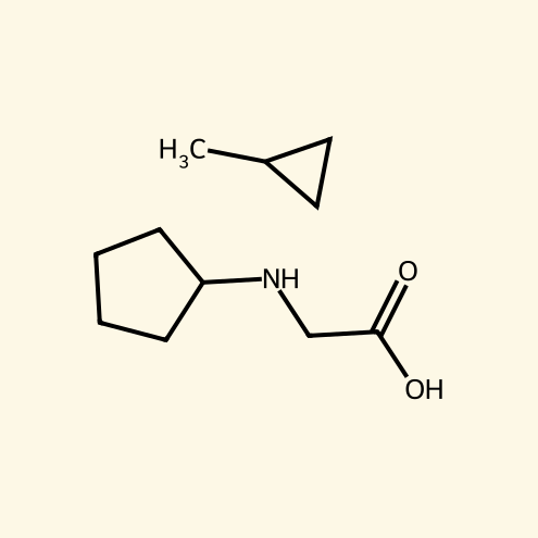 CC1CC1.O=C(O)CNC1CCCC1